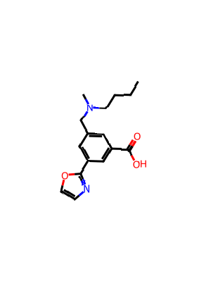 CCCCN(C)Cc1cc(C(=O)O)cc(-c2ncco2)c1